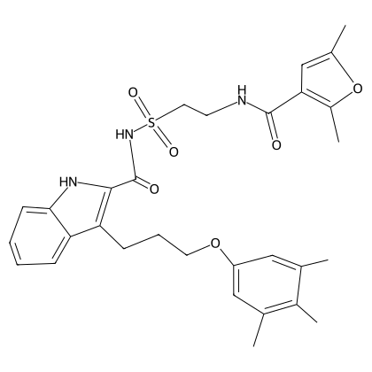 Cc1cc(C(=O)NCCS(=O)(=O)NC(=O)c2[nH]c3ccccc3c2CCCOc2cc(C)c(C)c(C)c2)c(C)o1